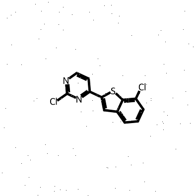 Clc1nccc(-c2cc3cccc(Cl)c3s2)n1